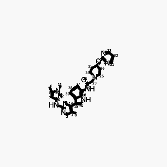 Cc1cnc(Nc2cc(C)n(C)n2)nc1-c1c[nH]c2c(NC(=O)CN3CCC(Oc4ncccn4)CC3)cccc12